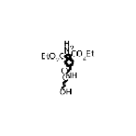 CCOC(=O)c1c2ccc(CC(=O)NOCCCCO)ccc-2c(C(=O)OCC)c1N